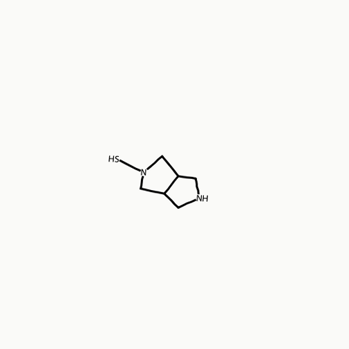 SN1CC2CNCC2C1